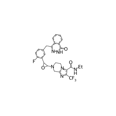 CCNC(=O)c1c(C(F)(F)F)nc2n1CCN(C1OC1c1cc(Cc3n[nH]c(=O)c4ccccc34)ccc1F)C2